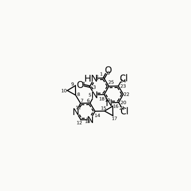 O=c1[nH]c(=O)n(-c2c(C3CC3)ncnc2C2CC2)c2nc(Cl)cc(Cl)c12